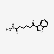 O=C(CCCCC(=O)c1csc2ccccc12)NO